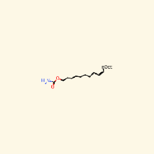 CCCCCCCC/C=C\CCCCCCCCOC(N)=O